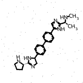 CN[C@@H](C)c1ncc(-c2ccc(-c3ccc(C4CN=C([C@@H]5CCCN5)N4)cc3)cc2)[nH]1